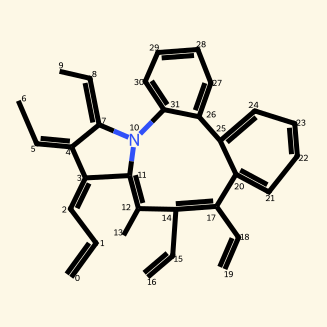 C=C/C=c1c(=C/C)/c(=C\C)n2c/1c(C)c(C=C)c(C=C)c1ccccc1c1ccccc12